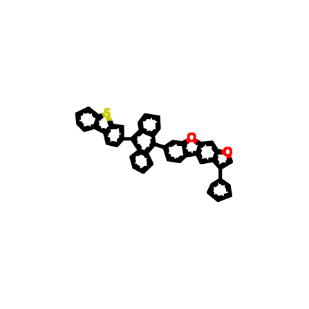 c1ccc(-c2coc3cc4oc5cc(-c6c7ccccc7c(-c7ccc8c(c7)sc7ccccc78)c7ccccc67)ccc5c4cc23)cc1